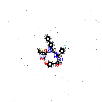 O=C1COc2ccc(cc2)C[C@@H](C(=O)O)NC(=O)[C@@H](Cc2ccc(F)cc2)NC(=O)[C@H](Cc2ccc(-c3ccccc3)cc2)NC(=O)[C@@H](Cc2cccs2)N1